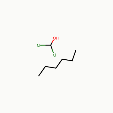 CCCCCC.OC(Cl)Cl